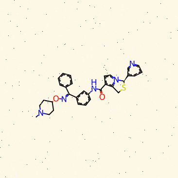 CN1CCC(ON=C(c2ccccc2)c2cccc(NC(=O)c3ccn4c3CS[C@@H]4c3cccnc3)c2)CC1